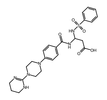 O=C(O)CC(NC(=O)c1ccc(N2CCN(C3=NCCCN3)CC2)cc1)NS(=O)(=O)c1ccccc1